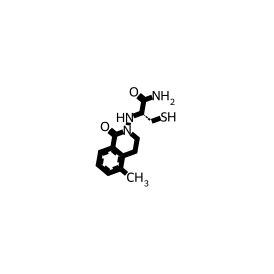 Cc1cccc2c1CCN(N[C@@H](CS)C(N)=O)C2=O